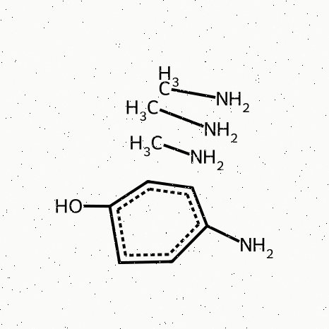 CN.CN.CN.Nc1ccc(O)cc1